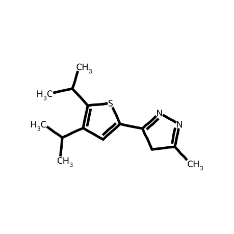 CC1=NN=C(c2cc(C(C)C)c(C(C)C)s2)C1